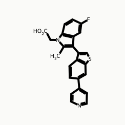 Cc1c(-c2csc3cc(-c4ccncc4)ccc23)c2cc(F)ccc2n1CC(=O)O